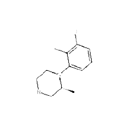 Cc1c(Cl)cccc1N1CCNC[C@@H]1C